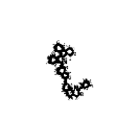 C1=Cc2c(c3ccccc3c3c2nc(-c2ccc4cc(-c5ccc6ccc7c(c6n5)N=C(c5ccccc5)CC7)ccc4c2)c2ccccc23)CC1